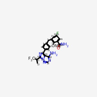 COc1c(Cc2ccc(-c3nc(C(C)C(F)(F)F)n4ncnc(N)c34)cc2)cc(F)cc1C(N)=O